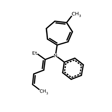 C/C=C\C=C(/CC)N(C1=CCC=C(C)C=C1)c1ccccc1